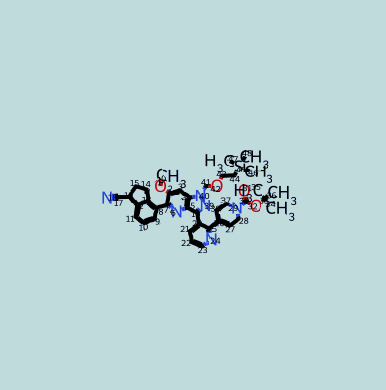 COc1cc2c(nc1-c1cccc3c1CCC3C#N)c(-c1cccnc1C1=CCN(C(=O)OC(C)(C)C)CC1)nn2COCC[Si](C)(C)C